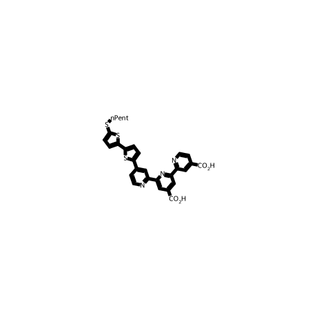 CCCCCSc1ccc(-c2ccc(-c3ccnc(-c4cc(C(=O)O)cc(-c5cc(C(=O)O)ccn5)n4)c3)s2)s1